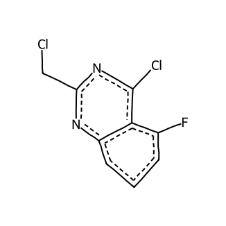 Fc1cccc2nc(CCl)nc(Cl)c12